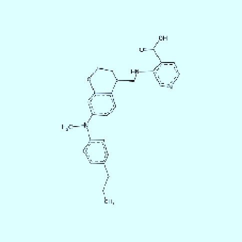 CCCc1ccc(N(C)c2ccc3c(c2)OCC[C@H]3CNc2cnccc2C(=O)O)cc1